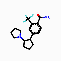 NC(=O)c1ccc(C2CCCC2N2CCCC2)cc1C(F)(F)F